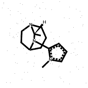 C[C@H]1N2CCCC(CC2)N1c1cccn1C